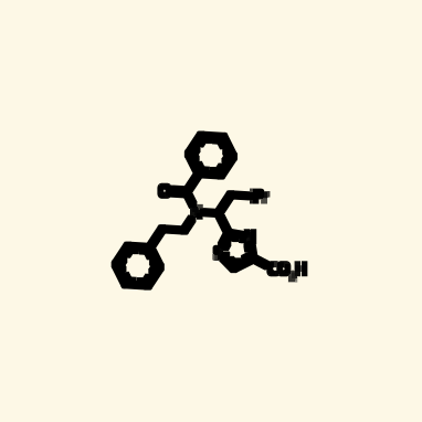 CC(C)CC(c1nc(C(=O)O)cs1)N(CCc1ccccc1)C(=O)c1ccccc1